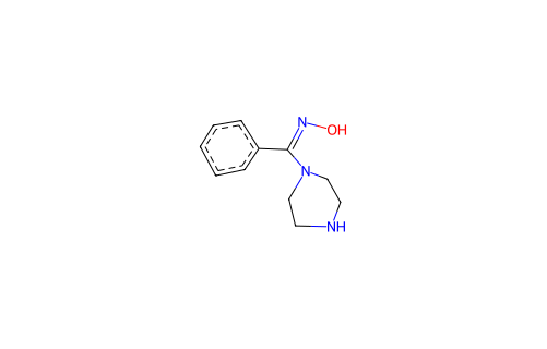 ON=C(c1ccccc1)N1CCNCC1